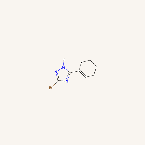 Cn1nc(Br)nc1C1=CCCCC1